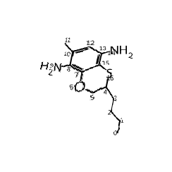 CCCCC1COc2c(N)c(C)cc(N)c2S1